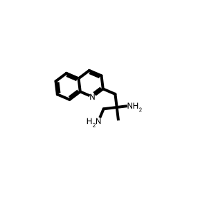 CC(N)(CN)Cc1ccc2ccccc2n1